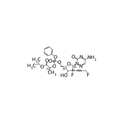 CC(C)OC(=O)[C@H](C)OP(=O)(OC[C@H]1O[C@@H](n2ncc(N)nc2=O)[C@@](F)(C#CCF)C1O)Oc1ccccc1